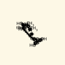 Cc1ncsc1-c1ccc([C@H](C)NC(=O)[C@@H]2C[C@H](O)CN2C(=O)[C@@H](NC(=O)CCCCCCCN(CCOc2ccc(C(=O)c3c(-c4ccc(O)cc4)sc4cc(O)ccc34)cc2)C2CCCC2)C(C)(C)C)cc1